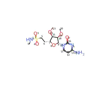 CNS(=O)(=O)CC[C@H]1O[C@@H](n2ccc(N)nc2=O)[C@H](OC)[C@@H]1OC